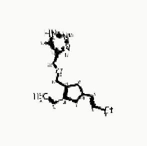 C=C[C@@H]1C[C@H](/C=C/CC)CC1COCc1c[nH]nn1